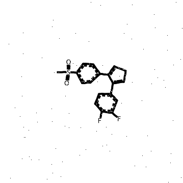 CS(=O)(=O)c1ccc(C2=CCC=C2c2ccc(F)c(F)c2)cc1